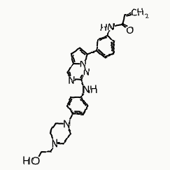 C=CC(=O)Nc1cccc(-c2ccc3cnc(Nc4ccc(N5CCN(CCO)CC5)cc4)nn23)c1